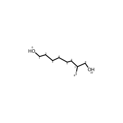 OCCCCCCC(I)CO